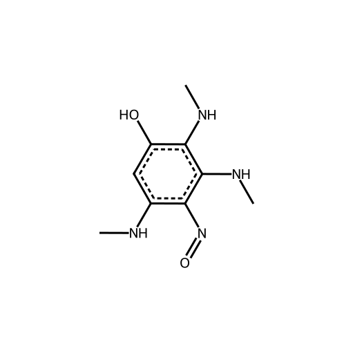 CNc1cc(O)c(NC)c(NC)c1N=O